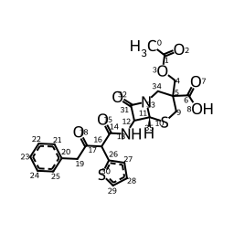 CC(=O)OCC1(C(=O)O)CS[C@@H]2C(NC(=O)C(C(=O)Cc3ccccc3)c3cccs3)C(=O)N2C1